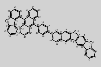 c1ccc2c(c1)oc1cc3sc4cc5cc(-c6ccc(-c7c8ccccc8c(-c8cccc9oc%10ccccc%10c89)c8ccccc78)cc6)ccc5cc4c3cc12